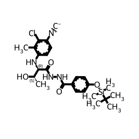 [C-]#[N+]c1ccc(N[C@@H](C(=O)NNC(=O)c2ccc(O[Si](C)(C)C(C)(C)C)cc2)[C@H](C)O)c(C)c1Cl